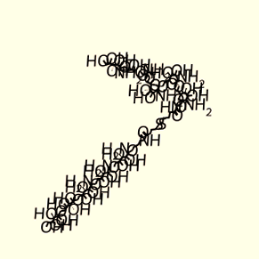 NC(OCC1O[C@@H](OCC2O[C@@H](OCC3O[C@@H](ONC(=O)CCCSSCCCC(=O)NCCCO[C@@H](N)C(O)[C@H](O)C(O)CO[C@H](N)C(O)[C@H](O)C(O)CO[C@H](N)C(O)[C@H](O)C(O)COC(O)[C@H](O)C(O)COC(O)[C@H](O)C(O)CO)C(N)C(O)[C@@H]3O)C(N)C(O)[C@@H]2O)C(N)C(O)[C@@H]1O)OOCC(O)CO[C@H](N)C(O)[C@H](O)C(O)CO